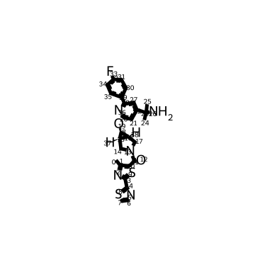 Cc1nc(-c2nccs2)sc1C(=O)N1C[C@@H]2[C@H](C1)[C@@H]2Oc1cc(C(C)(C)N)cc(-c2ccc(F)cc2)n1